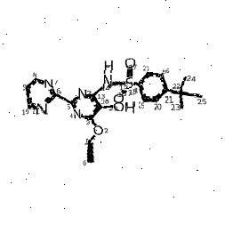 C=COc1nc(-c2ncccn2)nc(NS(=O)(=O)c2ccc(C(C)(C)C)cc2)c1O